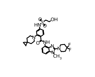 Cn1c(N2CCC(F)(F)CC2)nc2c(NC(=O)c3ccc(NS(=O)(=O)CCO)cc3N3CCC4(CC3)CC4)cccc21